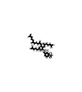 CC(C)=CCCC(C)=CCCC(C)=CCC(/C=C(\C)CCC=C(C)C)C(/C=C(\C)CCC=C(C)C)NCc1ccc2c(c1)OCO2